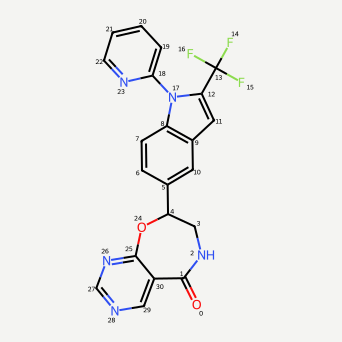 O=C1NCC(c2ccc3c(c2)cc(C(F)(F)F)n3-c2ccccn2)Oc2ncncc21